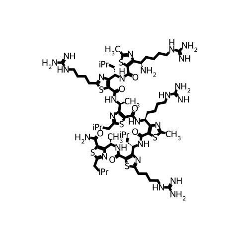 Cc1nc([C@H](CCCCNC(=N)N)NC(=O)c2sc(CC(C)C)nc2[C@H](C)NC(=O)c2sc(CCCCNC(=N)N)nc2[C@H](CC(C)C)NC(=O)c2sc(C)nc2[C@@H](N)CCCCNC(=N)N)c(C(=O)N[C@@H](CC(C)C)c2nc(CCCCNC(=N)N)sc2C(=O)N[C@@H](C)c2nc(CC(C)C)sc2C(N)=O)s1